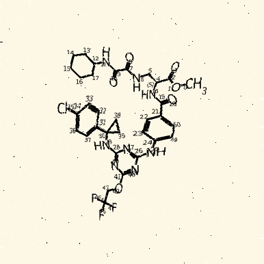 COC(=O)[C@H](CNC(=O)C(=O)NC1CCCCC1)NC(=O)c1ccc(Nc2nc(NC3(c4ccc(Cl)cc4)CC3)nc(OCC(F)(F)F)n2)cc1